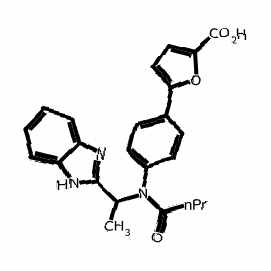 CCCC(=O)N(c1ccc(-c2ccc(C(=O)O)o2)cc1)C(C)c1nc2ccccc2[nH]1